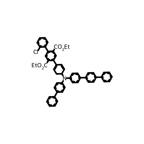 CCOC(=O)c1cc(-c2ccccc2Cl)c(C(=O)OCC)cc1C1=CCC(N(c2ccc(-c3ccccc3)cc2)c2ccc(-c3ccc(-c4ccccc4)cc3)cc2)C=C1